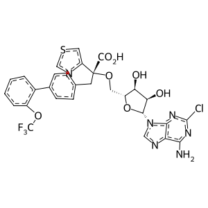 Nc1nc(Cl)nc2c1ncn2[C@@H]1O[C@H](CO[C@@](Cc2ccc(-c3ccccc3OC(F)(F)F)cc2)(C(=O)O)c2cscn2)[C@@H](O)[C@H]1O